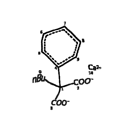 CCCCC(C(=O)[O-])(C(=O)[O-])c1ccccc1.[Ca+2]